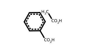 CC(=O)O.O=C(O)c1ccccc1